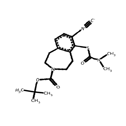 [C-]#[N+]c1ccc2c(c1SC(=O)N(C)C)CCN(C(=O)OC(C)(C)C)CC2